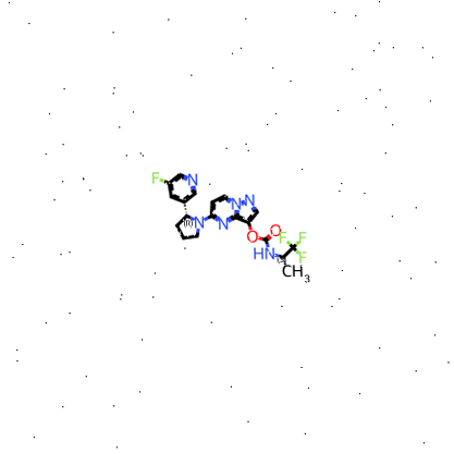 C[C@H](NC(=O)Oc1cnn2ccc(N3CCC[C@@H]3c3cncc(F)c3)nc12)C(F)(F)F